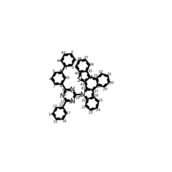 c1ccc(-c2cccc(-c3nc(-c4ccccc4)nc(-n4c5ccccc5c5c6ccccc6c6c7ccccc7sc6c54)n3)c2)cc1